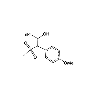 CCCC(O)C(c1ccc(OC)cc1)S(C)(=O)=O